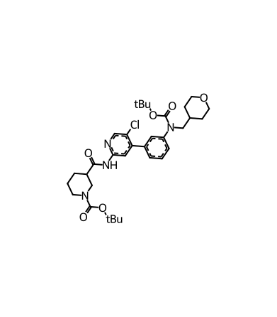 CC(C)(C)OC(=O)N1CCCC(C(=O)Nc2cc(-c3cccc(N(CC4CCOCC4)C(=O)OC(C)(C)C)c3)c(Cl)cn2)C1